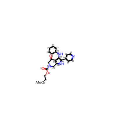 COCCOC(=O)N1CC(=O)c2c([nH]c(-c3ccncc3)c2Nc2ccccc2)C1